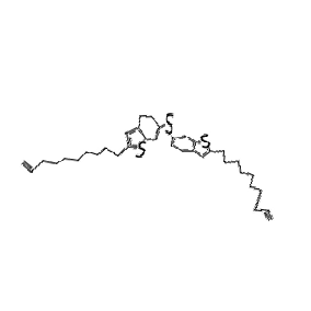 C=CCCCCCCCCc1cc2c(s1)C=C(Sc1ccc3cc(CCCCCCCCC=C)sc3c1)CC2